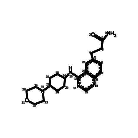 NC(=O)CCc1ccc2ncnc(NC3CCC(N4CCOCC4)CC3)c2c1